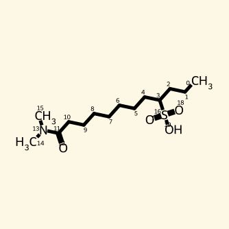 CCCC(CCCCCCCC(=O)N(C)C)S(=O)(=O)O